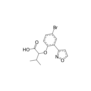 CC(C)C(Oc1ccc(Br)cc1-c1ccon1)C(=O)O